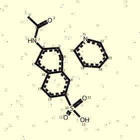 CC(=O)Nc1ccc2cc(S(=O)(=O)O)ccc2c1.c1ccncc1